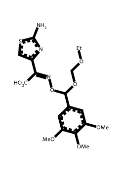 CCOCOC(O/N=C(\C(=O)O)c1csc(N)n1)c1cc(OC)c(OC)c(OC)c1